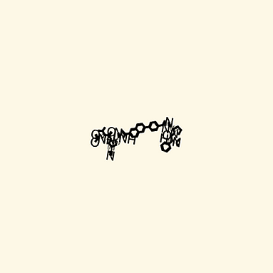 COC(=O)N[C@H](C(=O)N1C[C@H](C#N)C[C@H]1c1ncc(-c2ccc3cc(-c4ccc(-c5cnc([C@@H]6CCCN6C(=O)[C@@H](c6ccccc6)N(C)C)[nH]5)cc4)ccc3c2)[nH]1)C(C)C